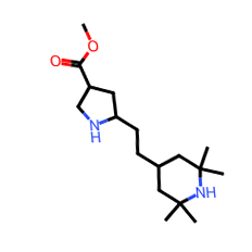 COC(=O)C1CNC(CCC2CC(C)(C)NC(C)(C)C2)C1